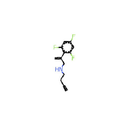 C#CCCNCC(=C)c1c(F)cc(F)cc1F